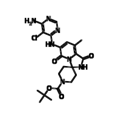 Cc1cc(Nc2ncnc(N)c2Cl)c(=O)n2c1C(=O)NC21CCN(C(=O)OC(C)(C)C)CC1